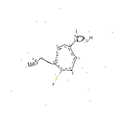 CSc1cc(C(=O)O)ccc1F